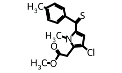 COC(=O)Cc1c(Cl)cc(C(=S)c2ccc(C)cc2)n1C